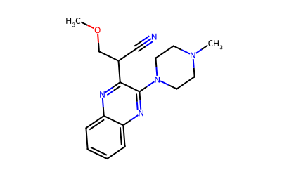 COCC(C#N)c1nc2ccccc2nc1N1CCN(C)CC1